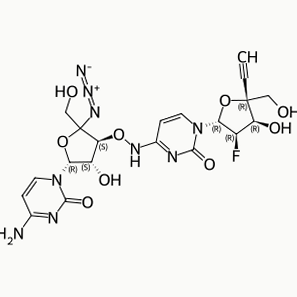 C#C[C@]1(CO)O[C@@H](n2ccc(NO[C@H]3[C@H](O)[C@H](n4ccc(N)nc4=O)OC3(CO)N=[N+]=[N-])nc2=O)[C@H](F)[C@@H]1O